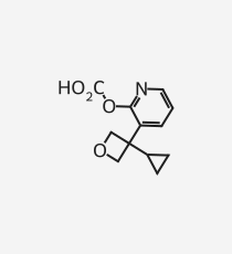 O=C(O)Oc1ncccc1C1(C2CC2)COC1